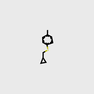 Cc1ccc(SCC2CC2)cc1